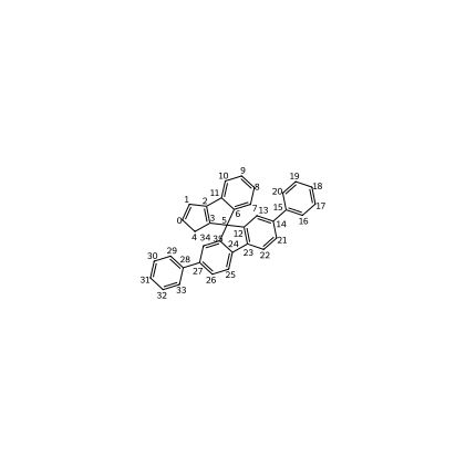 C1=CC2=C(C1)C1(c3ccccc32)c2cc(-c3ccccc3)ccc2-c2ccc(-c3ccccc3)cc21